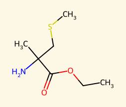 CCOC(=O)C(C)(N)CSC